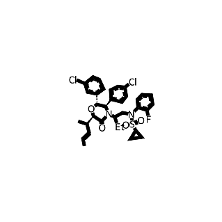 CC=CC(C)[C@H]1O[C@H](c2cccc(Cl)c2)[C@@H](c2ccc(Cl)cc2)N(C(CC)CN(c2ccccc2F)S(=O)(=O)C2CC2)C1=O